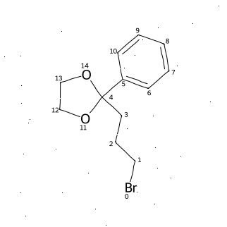 BrCCCC1(c2ccccc2)OCCO1